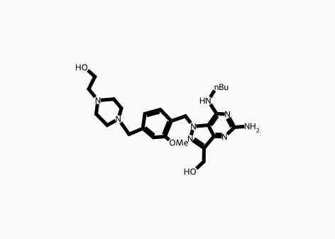 CCCCNc1nc(N)nc2c(CO)nn(Cc3ccc(CN4CCN(CCO)CC4)cc3OC)c12